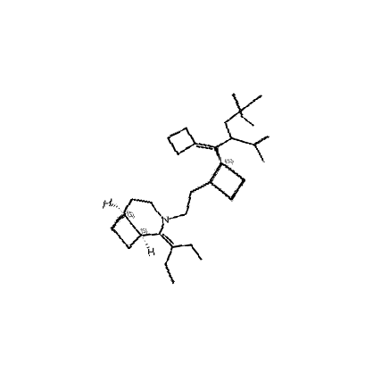 CCC(CC)=C1[C@H]2CC[C@H]2CCN1CCC1CC[C@@H]1C(=C1CCC1)C(CC(C)(C)C)C(C)C